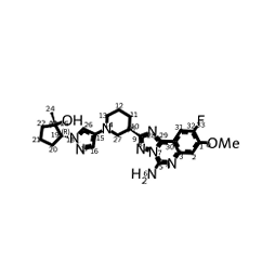 COc1cc2nc(N)n3nc([C@@H]4CCCN(c5cnn([C@@H]6CCC[C@]6(C)O)c5)C4)nc3c2cc1F